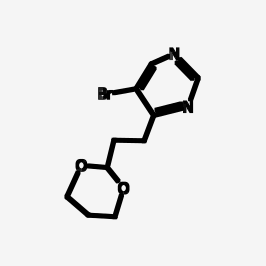 Brc1cncnc1CCC1OCCCO1